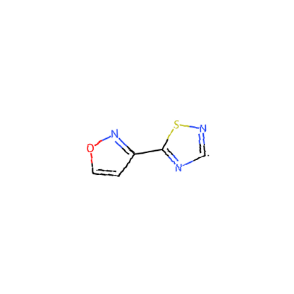 [c]1nsc(-c2ccon2)n1